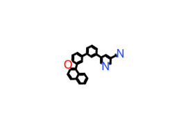 N#Cc1cncc(-c2cccc(-c3ccc4oc5ccc6ccccc6c5c4c3)c2)c1